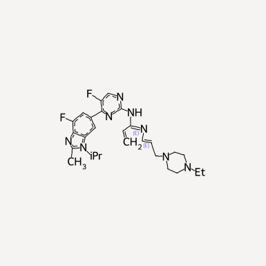 C=C/C(=N\C=C\CN1CCN(CC)CC1)Nc1ncc(F)c(-c2cc(F)c3nc(C)n(C(C)C)c3c2)n1